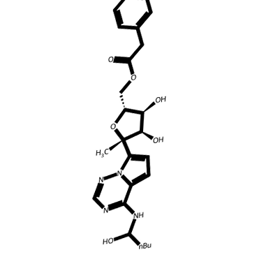 CCCCC(O)Nc1ncnn2c([C@]3(C)O[C@H](COC(=O)Cc4ccccc4)[C@@H](O)[C@H]3O)ccc12